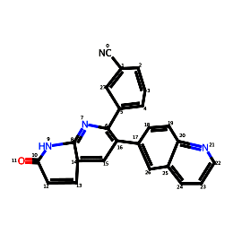 N#Cc1cccc(-c2nc3[nH]c(=O)ccc3cc2-c2ccc3ncccc3c2)c1